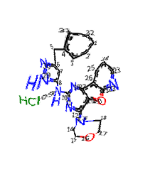 Cl.c1ccc(Cc2cc(Nc3nc(N4CCOCC4)c4oc5ncccc5c4n3)[nH]n2)cc1